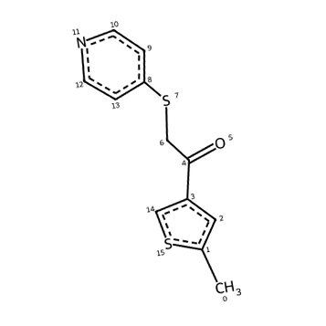 Cc1cc(C(=O)CSc2ccncc2)cs1